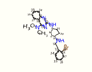 CN(C)c1nc(NC2CCC(NCc3ccccc3Br)CC2)nc2ccccc12